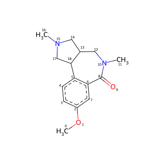 COc1ccc2c(c1)C(=O)N(C)CC1CN(C)CC21